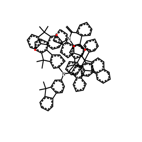 C=C(c1ccccc1C1=C(C)C(c2ccccc2)(C2(c3ccccc3)c3ccc4ccccc4c3-c3c2cc(N(c2ccc4c(c2)C(C)(C)c2ccccc2-4)c2ccc4c(c2)C(C)(C)c2ccccc2-4)c2ccccc32)c2ccc3ccccc3c21)N(c1ccc2c(c1)C(C)(C)c1ccccc1-2)c1ccc2c(c1)C(C)(C)c1ccccc1-2